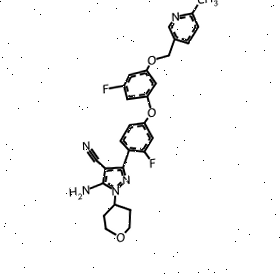 Cc1ccc(COc2cc(F)cc(Oc3ccc(-c4nn(C5CCOCC5)c(N)c4C#N)c(F)c3)c2)cn1